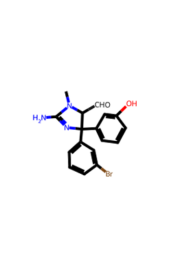 CN1C(N)=NC(c2cccc(O)c2)(c2cccc(Br)c2)C1C=O